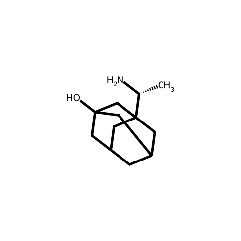 C[C@@H](N)C12CC3CC(CC(O)(C3)C1)C2